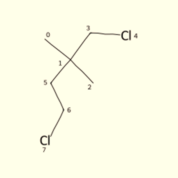 CC(C)(CCl)CCCl